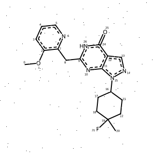 COc1cccnc1Cc1nc2c(cnn2C2CCC(C)(F)CC2)c(=O)[nH]1